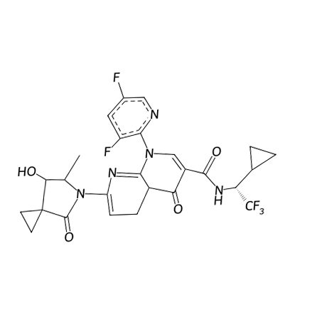 CC1C(O)C2(CC2)C(=O)N1C1=CCC2C(=O)C(C(=O)N[C@H](C3CC3)C(F)(F)F)=CN(c3ncc(F)cc3F)C2=N1